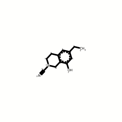 CCc1cc(O)c2c(c1)CCB(C#N)C2